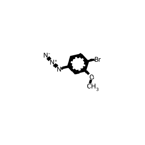 COc1cc(N=[N+]=[N-])ccc1Br